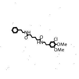 COc1cc(CCNC(=O)CCCCC(=O)NCCc2ccccc2)cc(Cl)c1OC